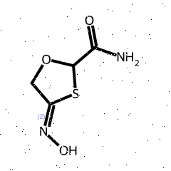 NC(=O)C1OC/C(=N/O)S1